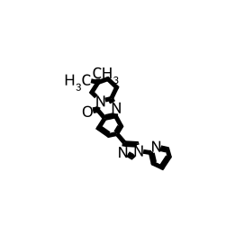 CC1(C)CCc2nc3cc(-c4cn(-c5ccccn5)cn4)ccc3c(=O)n2C1